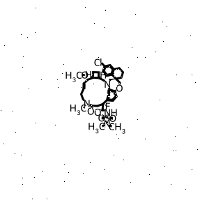 CO[C@H]1/C=C/CCN(C)C(=O)C[C@](F)(C(=O)NS(=O)(=O)N(C)C)c2ccc3c(c2)N(C[C@@H]2CC[C@H]21)C[C@@]1(CCCc2cc(Cl)ccc21)CO3